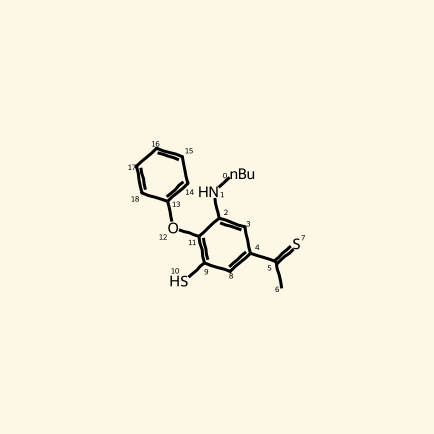 CCCCNc1cc(C(C)=S)cc(S)c1Oc1ccccc1